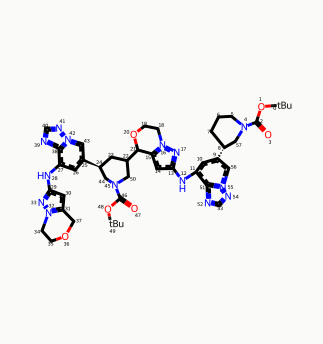 CC(C)(C)OC(=O)N1CCC[C@@H](c2cc(Nc3cc4n(n3)CCOC4C3C[C@H](c4cc(Nc5cc6n(n5)CCOC6)c5ncnn5c4)CN(C(=O)OC(C)(C)C)C3)c3ncnn3c2)C1